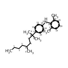 CCCCC(C)CCC(C)(C)c1ccc(Nc2c(C)cccc2C)cc1